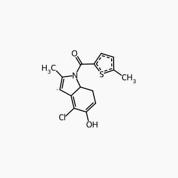 CC1=[C]C2=C(Cl)C(O)=CCC2N1C(=O)c1ccc(C)s1